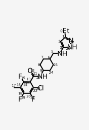 CCc1cc(NCC2CCC(NC(=O)c3c(F)c(C)c(F)c(F)c3Cl)CC2)[nH]n1